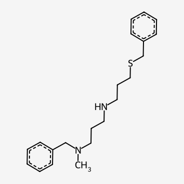 CN(CCCNCCCSCc1ccccc1)Cc1ccccc1